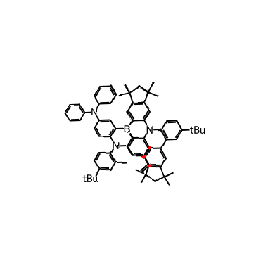 C=Cc1cc2c3c(c1)N(c1ccc(C(C)(C)C)cc1-c1ccc4c(c1)C(C)(C)CC4(C)C)c1cc4c(cc1B3c1cc(N(c3ccccc3)c3ccccc3)ccc1N2c1ccc(C(C)(C)C)cc1C)C(C)(C)CC4(C)C